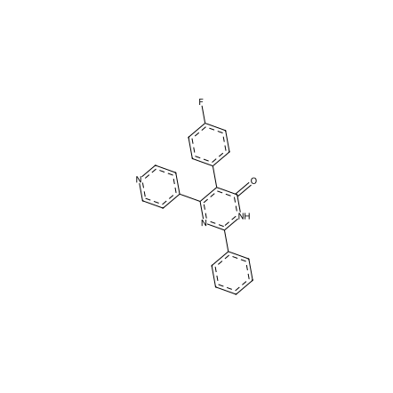 O=c1[nH]c(-c2ccccc2)nc(-c2ccncc2)c1-c1ccc(F)cc1